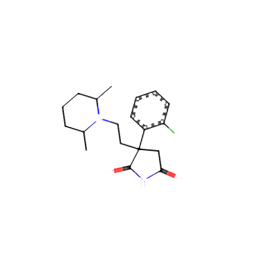 CC1CCCC(C)N1CCC1(c2ccccc2Cl)CC(=O)NC1=O